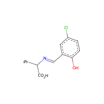 CC(C)C(N=Cc1cc(Cl)ccc1O)C(=O)O